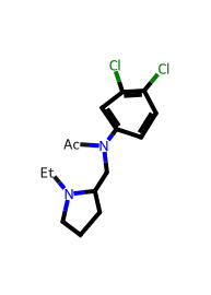 CCN1CCCC1CN(C(C)=O)c1ccc(Cl)c(Cl)c1